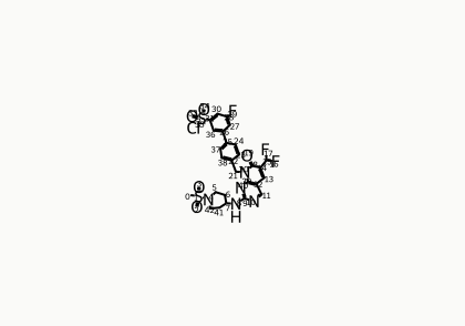 CS(=O)(=O)N1CCC(Nc2ncc3cc(C(F)F)c(=O)n(Cc4ccc(-c5cc(F)cc(S(=O)(=O)Cl)c5)cc4)c3n2)CC1